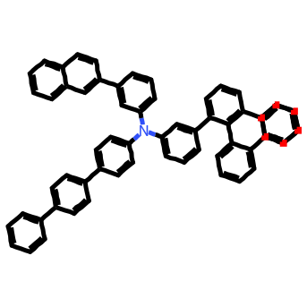 c1ccc(-c2ccc(-c3ccc(N(c4cccc(-c5ccc6ccccc6c5)c4)c4cccc(-c5cccc(-c6ccccc6)c5-c5ccccc5-c5ccccc5)c4)cc3)cc2)cc1